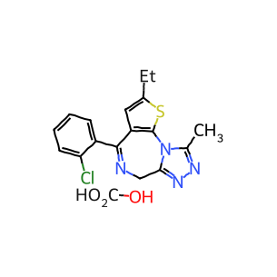 CCc1cc2c(s1)-n1c(C)nnc1CN=C2c1ccccc1Cl.O=C(O)O